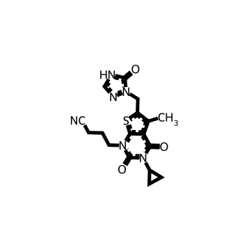 Cc1c(Cn2nc[nH]c2=O)sc2c1c(=O)n(C1CC1)c(=O)n2CCCC#N